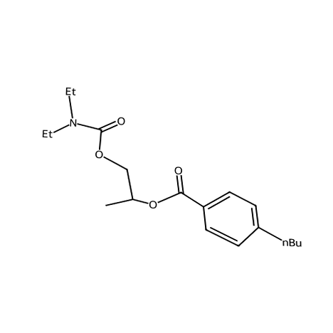 CCCCc1ccc(C(=O)OC(C)COC(=O)N(CC)CC)cc1